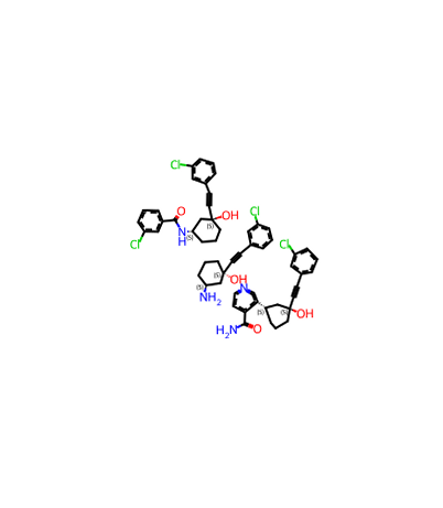 NC(=O)c1ccncc1[C@H]1CCC[C@@](O)(C#Cc2cccc(Cl)c2)C1.N[C@H]1CCC[C@@](O)(C#Cc2cccc(Cl)c2)C1.O=C(N[C@H]1CCC[C@@](O)(C#Cc2cccc(Cl)c2)C1)c1cccc(Cl)c1